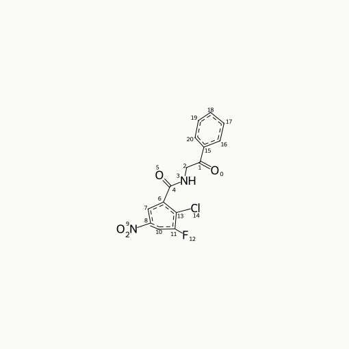 O=C(CNC(=O)c1cc([N+](=O)[O-])cc(F)c1Cl)c1ccccc1